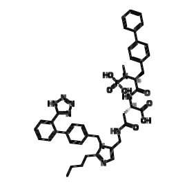 CCCCc1ncc(CNC(=O)C[C@H](NC(=O)[C@H](Cc2ccc(-c3ccccc3)cc2)N(C)P(=O)(O)O)C(=O)O)n1Cc1ccc(-c2ccccc2-c2nnn[nH]2)cc1